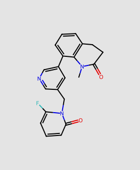 CN1C(=O)CCc2cccc(-c3cncc(Cn4c(F)cccc4=O)c3)c21